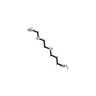 CC(C)(C)COCCOCCCN